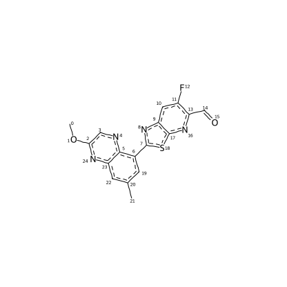 COc1cnc2c(-c3nc4cc(F)c(C=O)nc4s3)cc(C)cc2n1